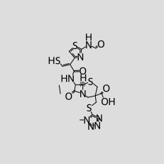 CC.Cn1nnnc1SCC1(C(=O)O)CS[C@@H]2C(NC(=O)C(=CS)c3csc(NC=O)n3)C(=O)N2C1